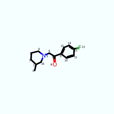 CC1CCCN(CC(=O)c2ccc(F)cc2)C1